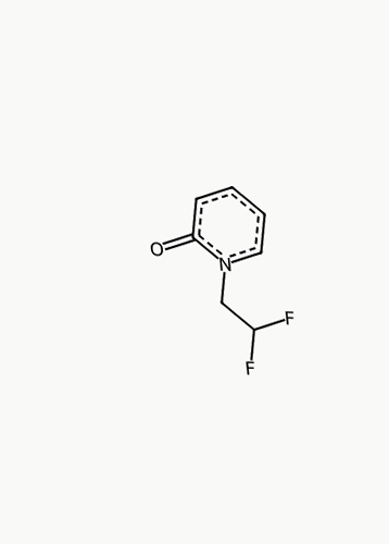 O=c1ccccn1CC(F)F